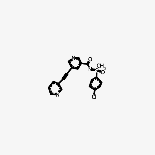 CS(=O)(=NC(=O)c1cncc(C#Cc2cccnc2)c1)c1ccc(Cl)cc1